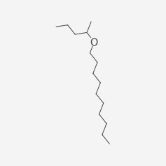 CCCCCCCCCCOC(C)CCC